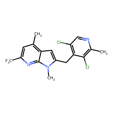 Cc1ncc(Cl)c(Cc2cc3c(C)cc(C(F)(F)F)nc3n2C)c1Cl